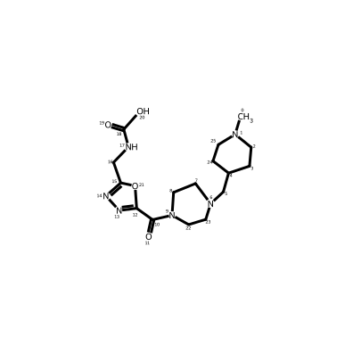 CN1CCC(CN2CCN(C(=O)c3nnc(CNC(=O)O)o3)CC2)CC1